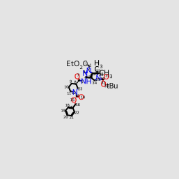 CCOC(=O)Cn1nc(NC(=O)[C@@H]2CCCN(C(=O)OCc3ccccc3)C2)c2c1C(C)(C)N(C(=O)OC(C)(C)C)C2